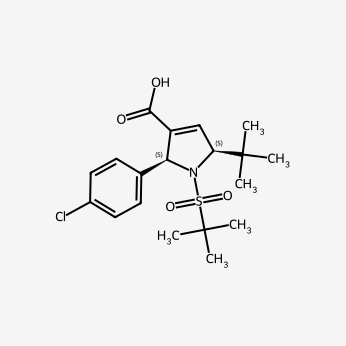 CC(C)(C)[C@@H]1C=C(C(=O)O)[C@H](c2ccc(Cl)cc2)N1S(=O)(=O)C(C)(C)C